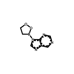 c1ncc2ncn(B3CCOO3)c2n1